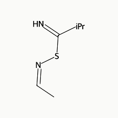 C/C=N\SC(=N)C(C)C